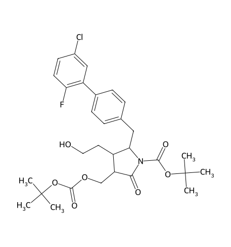 CC(C)(C)OC(=O)OCC1C(=O)N(C(=O)OC(C)(C)C)C(Cc2ccc(-c3cc(Cl)ccc3F)cc2)C1CCO